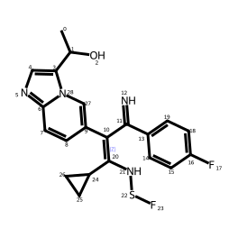 CC(O)c1cnc2ccc(/C(C(=N)c3ccc(F)cc3)=C(/NSF)C3CC3)cn12